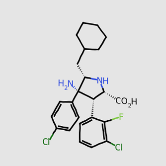 N[C@]1(c2ccc(Cl)cc2)[C@H](CC2CCCCC2)N[C@H](C(=O)O)[C@@H]1c1cccc(Cl)c1F